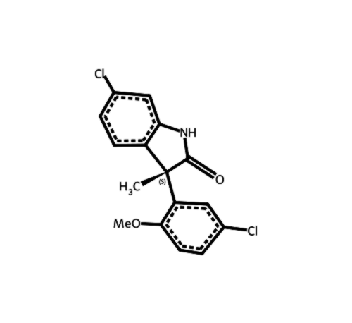 COc1ccc(Cl)cc1[C@@]1(C)C(=O)Nc2cc(Cl)ccc21